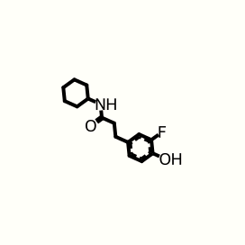 O=C(CCc1ccc(O)c(F)c1)NC1CCCCC1